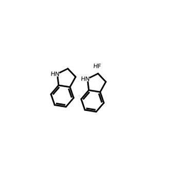 F.c1ccc2c(c1)CCN2.c1ccc2c(c1)CCN2